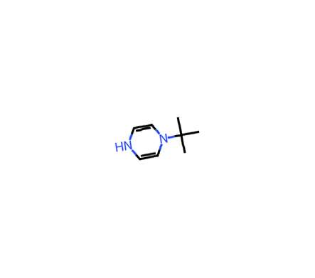 CC(C)(C)N1C=CNC=C1